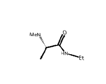 CCNC(=O)[C@H](C)NC